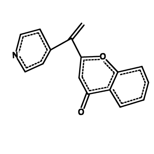 C=C(c1ccncc1)c1cc(=O)c2ccccc2o1